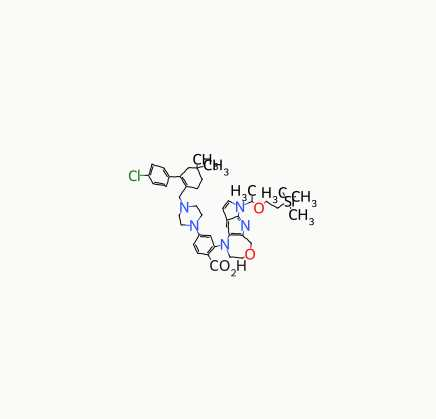 CC(OCC[Si](C)(C)C)n1ccc2cc3c(nc21)COCCN3c1cc(N2CCN(CC3=C(c4ccc(Cl)cc4)CC(C)(C)CC3)CC2)ccc1C(=O)O